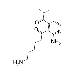 CC(C)C(=O)c1ccnc(N)c1C(=O)CCCCCN